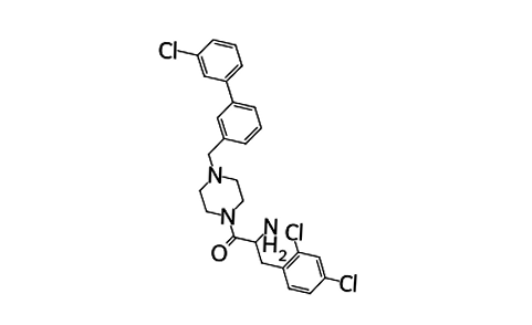 NC(Cc1ccc(Cl)cc1Cl)C(=O)N1CCN(Cc2cccc(-c3cccc(Cl)c3)c2)CC1